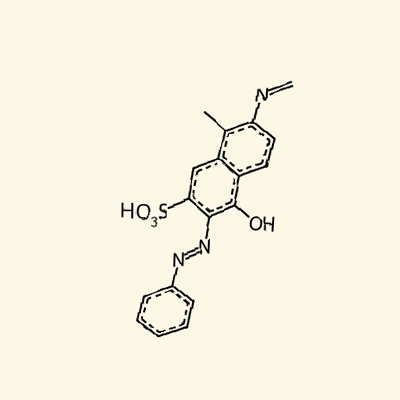 C=Nc1ccc2c(O)c(N=Nc3ccccc3)c(S(=O)(=O)O)cc2c1C